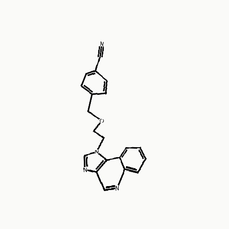 N#Cc1ccc(COCCn2cnc3cnc4ccccc4c32)cc1